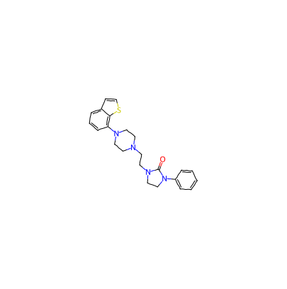 O=C1N(CCN2CCN(c3cccc4ccsc34)CC2)CCN1c1ccccc1